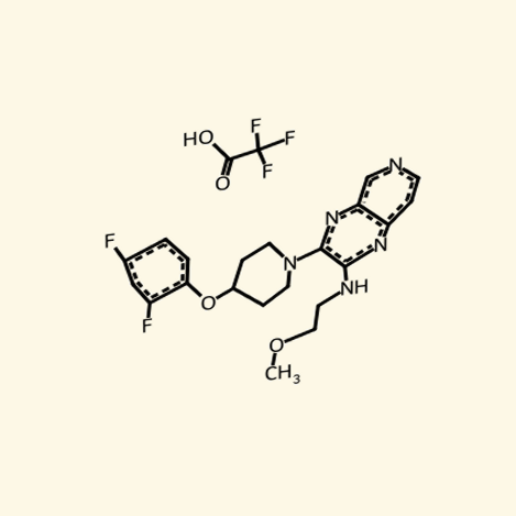 COCCNc1nc2ccncc2nc1N1CCC(Oc2ccc(F)cc2F)CC1.O=C(O)C(F)(F)F